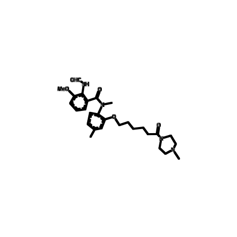 COc1cccc(C(=O)N(C)c2ccc(C)cc2OCCCCCC(=O)N2CCN(C)CC2)c1NC=O